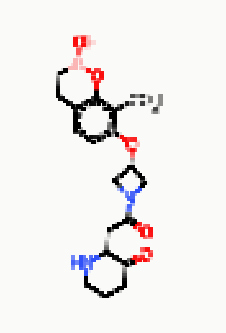 O=C(O)c1c(OC2CN(C(=O)CC3NCCCC3=O)C2)ccc2c1OB(O)CC2